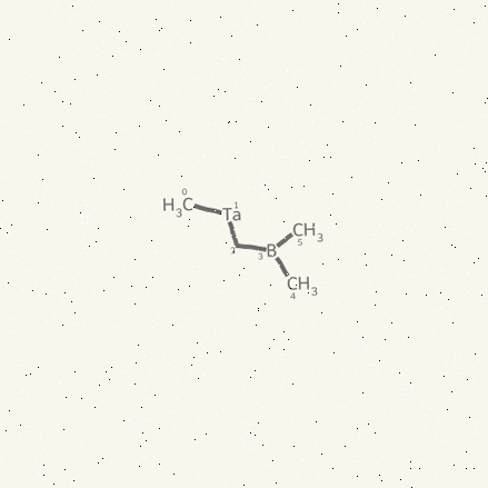 [CH3][Ta][CH2]B(C)C